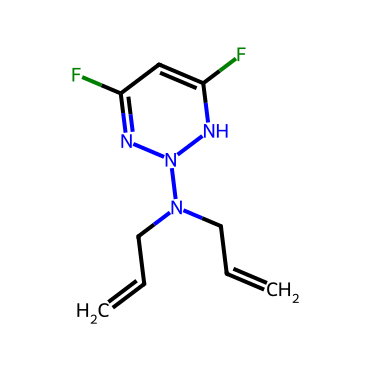 C=CCN(CC=C)N1N=C(F)C=C(F)N1